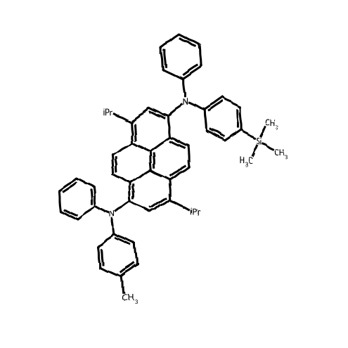 Cc1ccc(N(c2ccccc2)c2cc(C(C)C)c3ccc4c(N(c5ccccc5)c5ccc([Si](C)(C)C)cc5)cc(C(C)C)c5ccc2c3c54)cc1